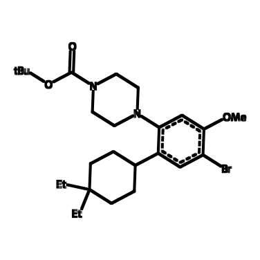 CCC1(CC)CCC(c2cc(Br)c(OC)cc2N2CCN(C(=O)OC(C)(C)C)CC2)CC1